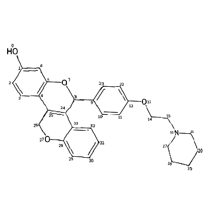 Oc1ccc2c(c1)OC(c1ccc(OCCN3CCCCC3)cc1)C1=C2COc2ccccc21